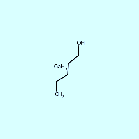 CCCCCO.[GaH3]